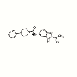 CC(C)N(C)c1nc2ccc(NC(=O)N3CCN(c4ccccc4)CC3)cc2[nH]1